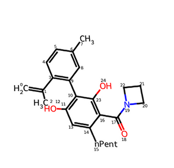 C=C(C)c1ccc(C)cc1-c1c(O)cc(CCCCC)c(C(=O)N2CCC2)c1O